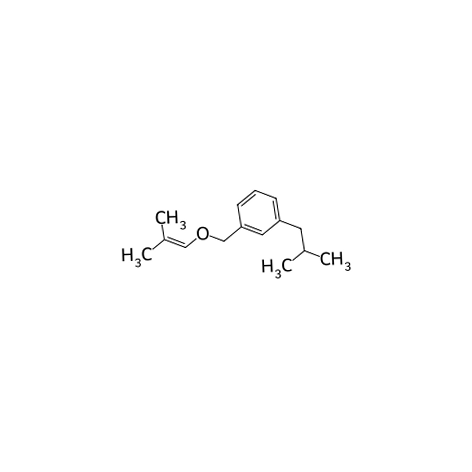 CC(C)=COCc1cccc(CC(C)C)c1